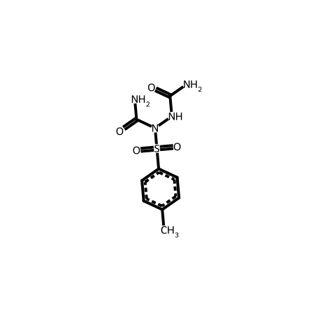 Cc1ccc(S(=O)(=O)N(NC(N)=O)C(N)=O)cc1